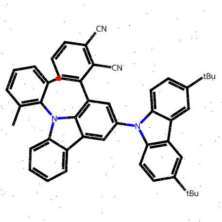 Cc1cccc(C)c1-n1c2ccccc2c2cc(-n3c4ccc(C(C)(C)C)cc4c4cc(C(C)(C)C)ccc43)cc(-c3cccc(C#N)c3C#N)c21